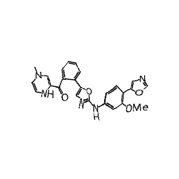 COc1cc(Nc2ncc(-c3ccccc3C(=O)C3=CN(C)C=CN3)o2)ccc1-c1cnco1